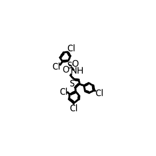 O=S(=O)(NCc1cc(-c2ccc(Cl)cc2)c(-c2ccc(Cl)cc2Cl)s1)c1cc(Cl)ccc1Cl